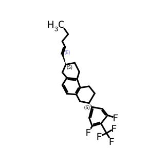 CCC/C=C/[C@H]1CCc2c(ccc3c2CC[C@H](c2cc(F)c(C(F)(F)F)c(F)c2)C3)C1